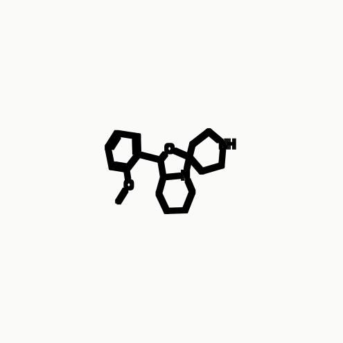 COc1ccccc1C1OC2(CCNCC2)N2CCCCC12